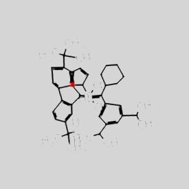 CC(C)c1cc([C](C2CCCCC2)=[Hf]([Cl])([Cl])([CH]2C=CC=C2)[CH]2c3cc(C(C)(C)C)ccc3-c3ccc(C(C)(C)C)cc32)cc(C(C)C)c1